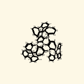 S=P12c3c4ccc5c3N(c3ccccc3C53c5ccccc5-c5ccccc53)c3ccc5c(c31)N(c1ccccc1C51c3ccccc3-c3ccccc31)c1ccc3c(c12)N4c1ccccc1C31c2ccccc2-c2ccccc21